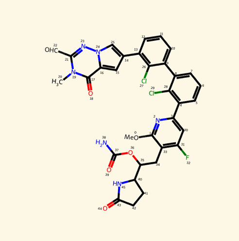 COc1nc(-c2cccc(-c3cccc(-c4cc5c(=O)n(C)c(C=O)nn5c4)c3Cl)c2Cl)cc(F)c1CC(OC(N)=O)C1CCC(=O)N1